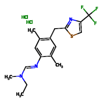 CCN(C)C=Nc1cc(C)c(Cc2nc(C(F)(F)F)cs2)cc1C.Cl.Cl